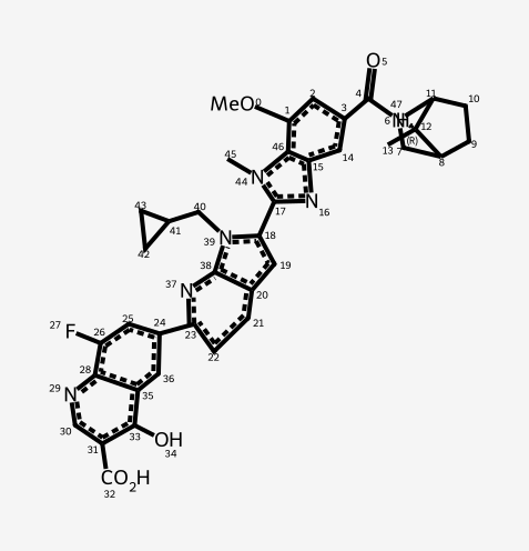 COc1cc(C(=O)N2CC3CCC2[C@@H]3C)cc2nc(-c3cc4ccc(-c5cc(F)c6ncc(C(=O)O)c(O)c6c5)nc4n3CC3CC3)n(C)c12